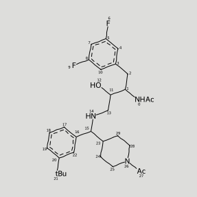 CC(=O)NC(Cc1cc(F)cc(F)c1)C(O)CNC(c1cccc(C(C)(C)C)c1)C1CCN(C(C)=O)CC1